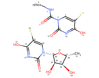 CCCCCCNC(=O)n1cc(F)c(O)nc1=O.C[C@H]1O[C@@H](n2cc(F)c(O)nc2=O)[C@H](O)[C@@H]1O